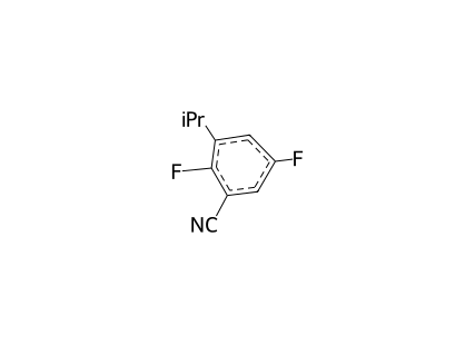 CC(C)c1cc(F)cc(C#N)c1F